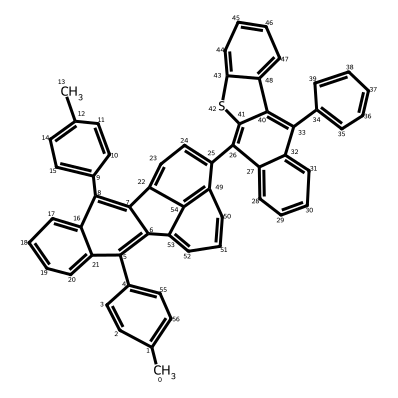 Cc1ccc(-c2c3c(c(-c4ccc(C)cc4)c4ccccc24)-c2ccc(-c4c5ccccc5c(-c5ccccc5)c5c4sc4ccccc45)c4cccc-3c24)cc1